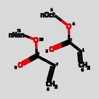 C=CC(=O)OCCCCCCCC.C=CC(=O)OCCCCCCCCC